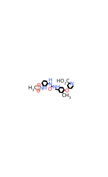 Cc1cc(CNC(=O)Nc2cccc(NS(C)(=O)=O)c2)ccc1Oc1ccnc(C(=O)O)c1